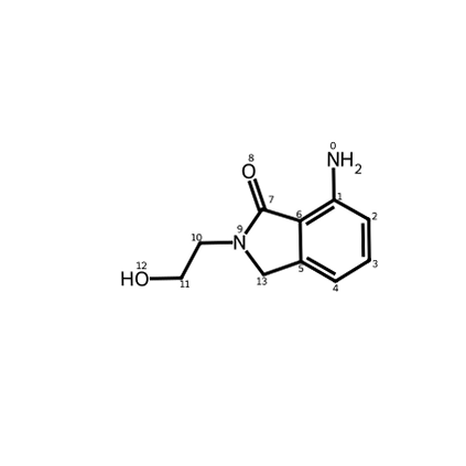 Nc1cccc2c1C(=O)N(CCO)C2